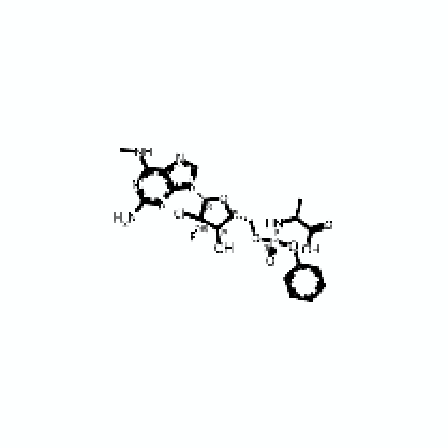 CNc1nc(N)nc2c1ncn2[C@@H]1O[C@H](CO[P@@](=O)(NC(C)C(=O)O)Oc2ccccc2)[C@@H](O)[C@@]1(F)Cl